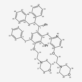 CC(C)[C](c1cc(Cc2ccccc2)c(OCCN2CCOCC2)c(C(C)C)c1Cc1cc(OCCN2CCOCC2)ccn1)C(Cc1ccccc1)c1ccccc1